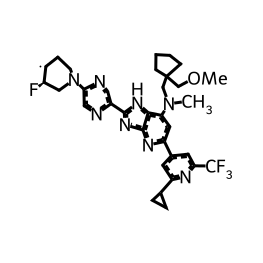 COCC1(CN(C)c2cc(-c3cc(C4CC4)nc(C(F)(F)F)c3)nc3nc(-c4cnc(N5CC[CH][C@H](F)C5)cn4)[nH]c23)CCCC1